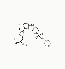 CC(C)(O)Cn1cc(-c2nc(NC3CCN(S(=O)(=O)CCN4CCOCC4)CC3)ncc2C(F)(F)F)cn1